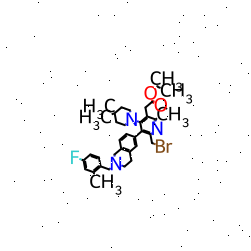 Cc1cc(F)ccc1CN1CCc2cc(-c3c(CBr)nc(C)c(CC(=O)OC(C)C)c3N3CCC(C)(C)CC3)ccc2C1